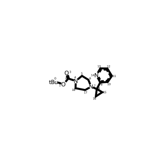 CC(C)(C)OC(=O)N1CCN(C2(c3ccccn3)CC2)CC1